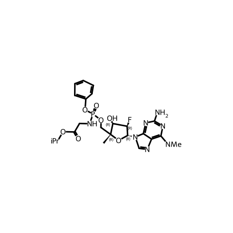 CNc1nc(N)nc2c1ncn2[C@@H]1O[C@](C)(COP(=O)(NCC(=O)OC(C)C)Oc2ccccc2)[C@@H](O)[C@H]1F